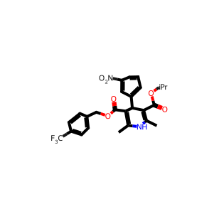 CC1=C(C(=O)OCc2ccc(C(F)(F)F)cc2)C(c2cccc([N+](=O)[O-])c2)C(C(=O)OC(C)C)=C(C)N1